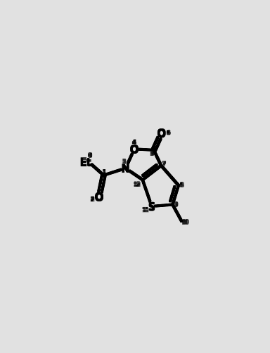 CCC(=O)n1oc(=O)c2cc(C)sc21